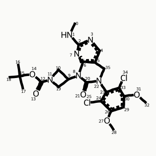 CNc1ncc2c(n1)N(C1CN(C(=O)OC(C)(C)C)C1)C(=O)N(c1c(Cl)c(OC)cc(OC)c1Cl)C2